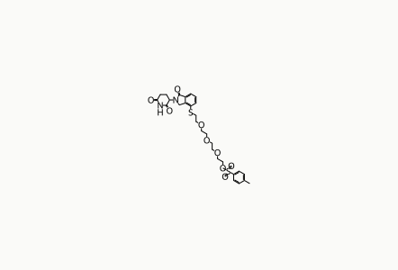 Cc1ccc(S(=O)(=O)OCCOCCOCCOCCSc2cccc3c2CN(C2CCC(=O)NC2=O)C3=O)cc1